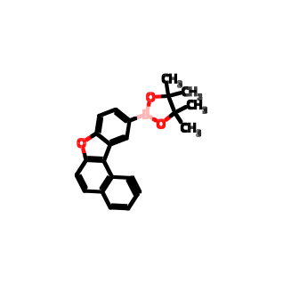 CC1(C)OB(c2ccc3oc4ccc5ccc#cc5c4c3c2)OC1(C)C